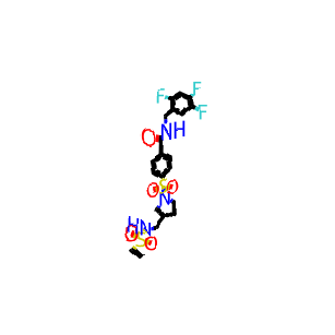 C=CS(=O)(=O)NCC1CCN(S(=O)(=O)c2ccc(C(=O)NCc3cc(F)c(F)cc3F)cc2)C1